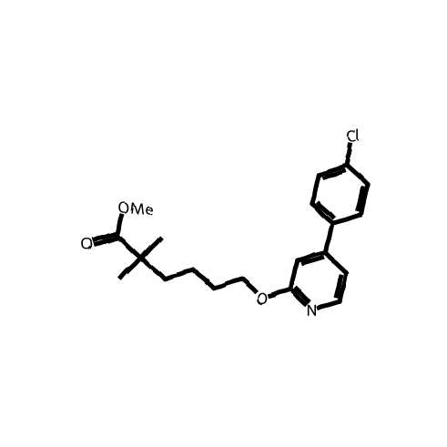 COC(=O)C(C)(C)CCCCOc1cc(-c2ccc(Cl)cc2)ccn1